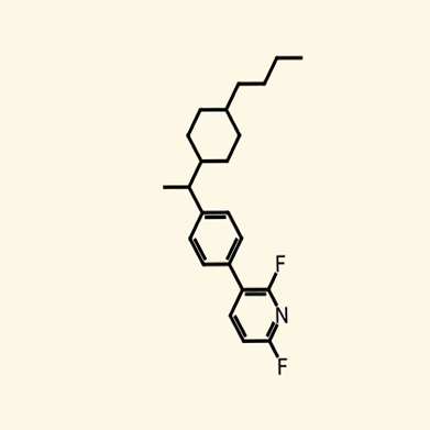 CCCCC1CCC(C(C)c2ccc(-c3ccc(F)nc3F)cc2)CC1